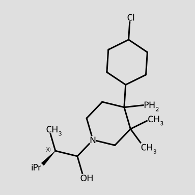 CC(C)[C@@H](C)C(O)N1CCC(P)(C2CCC(Cl)CC2)C(C)(C)C1